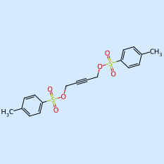 Cc1ccc(S(=O)(=O)OCC#CCOS(=O)(=O)c2ccc(C)cc2)cc1